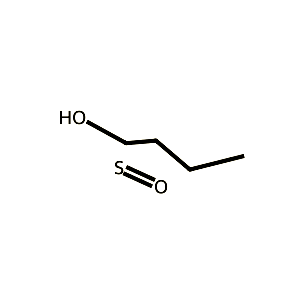 CCCCO.O=S